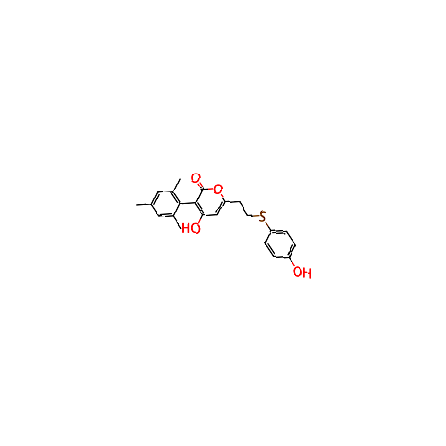 Cc1cc(C)c(-c2c(O)cc(CCSc3ccc(O)cc3)oc2=O)c(C)c1